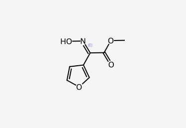 COC(=O)/C(=N/O)c1ccoc1